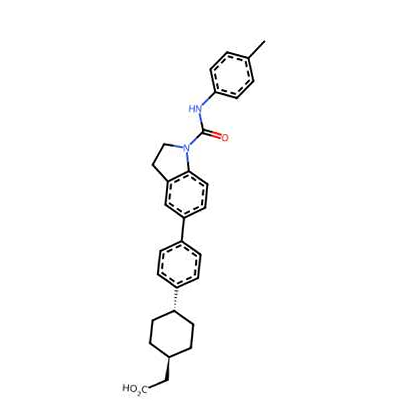 Cc1ccc(NC(=O)N2CCc3cc(-c4ccc([C@H]5CC[C@H](CC(=O)O)CC5)cc4)ccc32)cc1